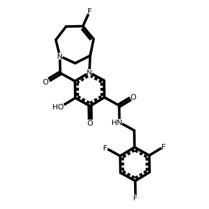 O=C(NCc1c(F)cc(F)cc1F)c1cn2c(c(O)c1=O)C(=O)N1CCC(F)=CC2C1